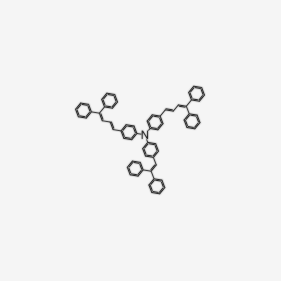 C(=Cc1ccc(N(c2ccc(C=CC=C(c3ccccc3)c3ccccc3)cc2)c2ccc(C=C(c3ccccc3)c3ccccc3)cc2)cc1)C=C(c1ccccc1)c1ccccc1